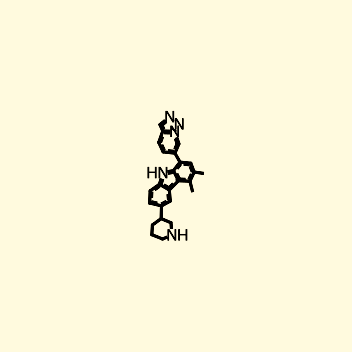 Cc1cc(-c2ccc3cnnn3c2)c2[nH]c3ccc(C4CCCNC4)cc3c2c1C